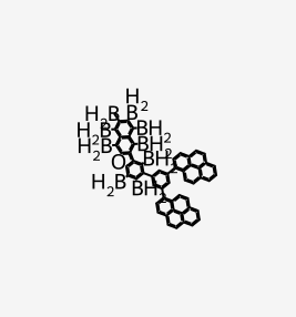 Bc1c(-c2cc(-c3ccc4ccc5cccc6ccc3c4c56)cc(-c3ccc4ccc5cccc6ccc3c4c56)c2)c(B)c2c(oc3c(B)c4c(B)c(B)c(B)c(B)c4c(B)c32)c1B